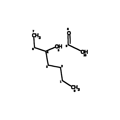 CCCCC(O)CC.O=CO